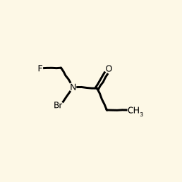 CCC(=O)N(Br)CF